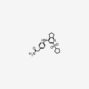 NC(=O)Cc1ccc(Nc2cc(S(=O)(=O)C3CCCC3)nc3c2CCC3)cc1